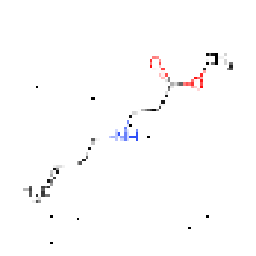 C=CCCNCCC(=O)OC